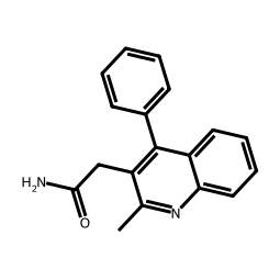 Cc1nc2ccccc2c(-c2ccccc2)c1CC(N)=O